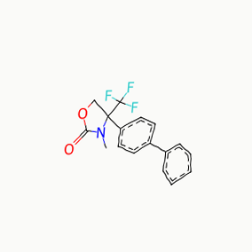 CN1C(=O)OCC1(c1ccc(-c2ccccc2)cc1)C(F)(F)F